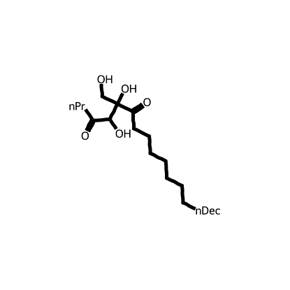 CCCCCCCCCCCCCCCCCC(=O)C(O)(CO)C(O)C(=O)CCC